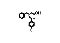 OCCN(Cc1ccccc1)C[C@H](O)c1ccc(Cl)cc1